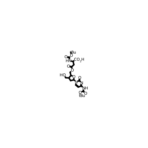 CC(C)(C)OC(=O)Nc1ccn(C2CC(CO)C(COC(=O)CC(NC(=O)OC(C)(C)C)C(=O)O)O2)c(=O)n1